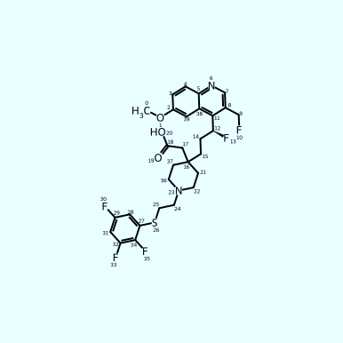 COc1ccc2ncc(CF)c([C@@H](F)CCC3(CC(=O)O)CCN(CCSc4cc(F)cc(F)c4F)CC3)c2c1